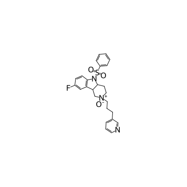 O=S(=O)(c1ccccc1)N1c2ccc(F)cc2C2C[N+]([O-])(CCCc3cccnc3)CCC21